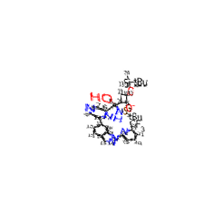 CC(C)(C)[S@@+]([O-])N[C@@](O)(c1cncc(-c2ccc3cnn(-c4cccc(C(F)(F)F)n4)c3c2)n1)C1CC(O[Si](C)(C)C(C)(C)C)C1